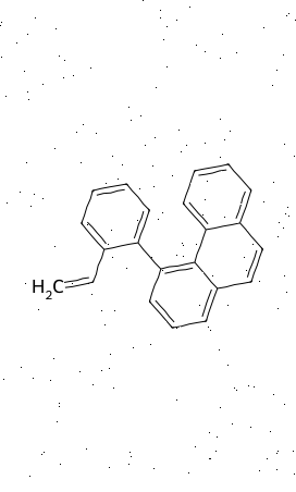 C=Cc1ccccc1-c1cccc2ccc3ccccc3c12